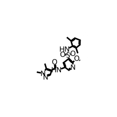 COc1ncc(NC(=O)c2cnn(C)c2C)cc1S(=O)(=O)Nc1c(C)cccc1C